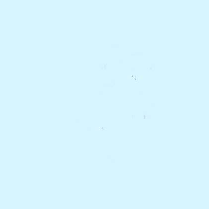 C#CCSc1cc(-c2c(Cl)c(C(F)(F)F)n(C)c2Cl)c(F)cc1Cl